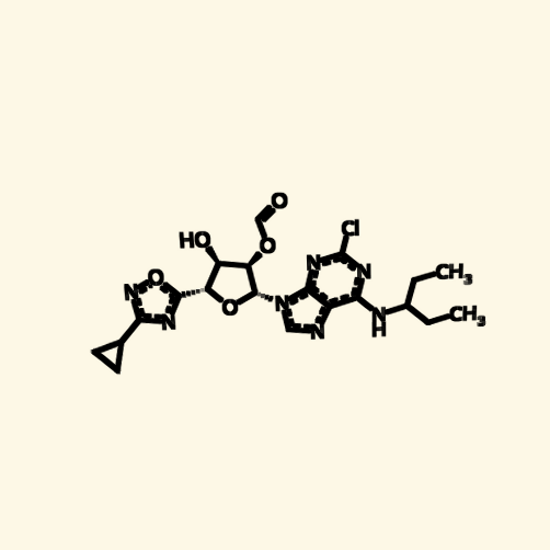 CCC(CC)Nc1nc(Cl)nc2c1ncn2[C@@H]1O[C@H](c2nc(C3CC3)no2)[C@@H](O)[C@H]1OC=O